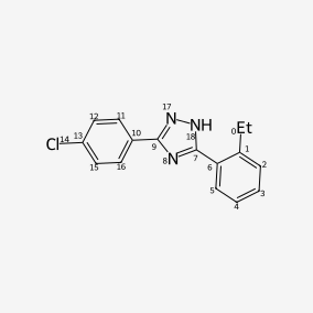 CCc1ccccc1-c1nc(-c2ccc(Cl)cc2)n[nH]1